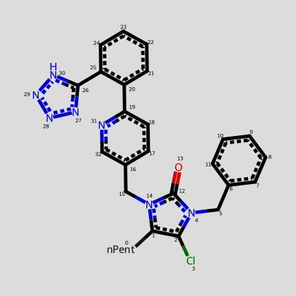 CCCCCc1c(Cl)n(Cc2ccccc2)c(=O)n1Cc1ccc(-c2ccccc2-c2nnn[nH]2)nc1